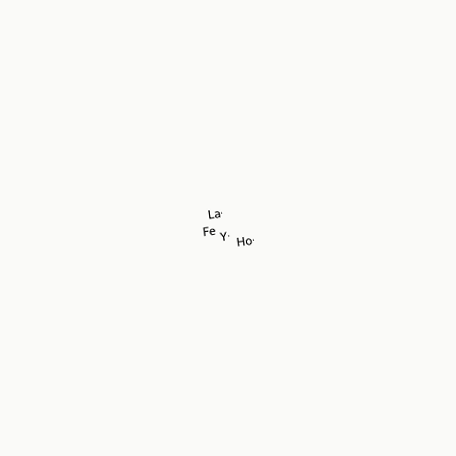 [Fe].[Ho].[La].[Y]